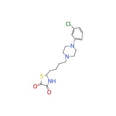 O=C1NC(CCCCN2CCN(c3cccc(Cl)c3)CC2)SC1=O